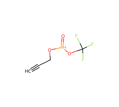 C#CCO[PH](=O)OC(F)(F)F